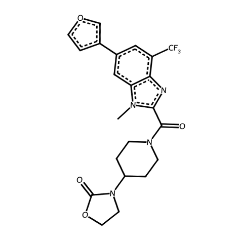 Cn1c(C(=O)N2CCC(N3CCOC3=O)CC2)nc2c(C(F)(F)F)cc(-c3ccoc3)cc21